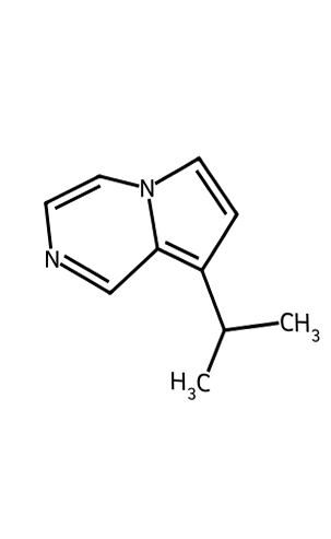 CC(C)c1ccn2ccncc12